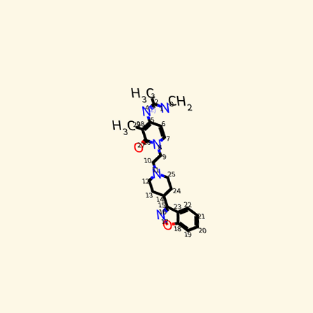 C=N/C(C)=N\c1ccn(CCN2CCC(c3noc4ccccc34)CC2)c(=O)c1C